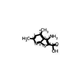 Cc1cc(C)c2c(N)c(C(=O)O)sc2n1